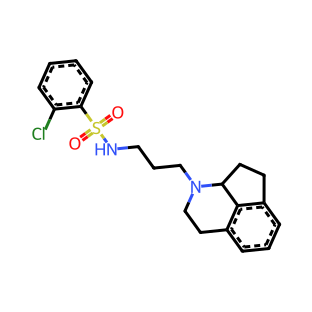 O=S(=O)(NCCCN1CCc2cccc3c2C1CC3)c1ccccc1Cl